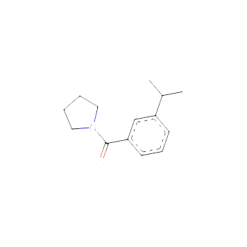 CC(C)c1cccc(C(=O)N2CCCC2)c1